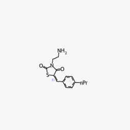 CCCc1ccc(/C=C2/SC(=O)N(CCN)C2=O)cc1